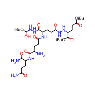 CC(C)COC(=O)CCC(NNC(=O)CCC(NC(=O)CCC(N)C(=O)NC(CCC(N)=O)C(N)=O)C(=O)NNC(O)OCC(C)C)C(=O)OCC(C)C